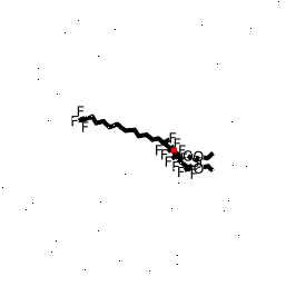 CCO[Si](OCC)(OCC)C(F)(F)C(F)(F)C(F)(F)C(F)(F)C(F)(F)CCCCCCCCCCCC(F)(F)F